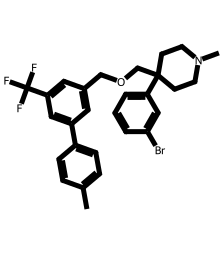 Cc1ccc(-c2cc(COCC3(c4cccc(Br)c4)CCN(C)CC3)cc(C(F)(F)F)c2)cc1